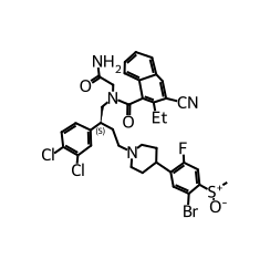 CCc1c(C#N)cc2ccccc2c1C(=O)N(CC(N)=O)C[C@@H](CCN1CCC(c2cc(Br)c([S+](C)[O-])cc2F)CC1)c1ccc(Cl)c(Cl)c1